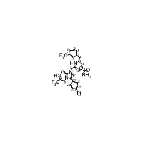 NC(=O)OCC(Cc1cccc(C(F)(F)F)c1)NC(=O)Cn1nc(-c2ccc(Cl)cc2)n(C[C@H](O)C(F)(F)F)c1=O